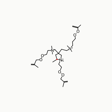 C=C(C)COOCC[N+](C)(C)CC(CCC)(CC[N+](C)(C)CCCOOC(=C)C)C[N+](C)(C)CCOOCC(=C)C